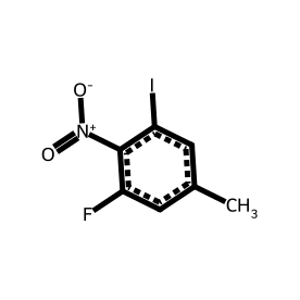 Cc1cc(F)c([N+](=O)[O-])c(I)c1